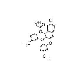 Cc1cccc(Oc2cc3ccc(Cl)cc3c(OC(=O)CO)c2Oc2cccc(C)c2)c1